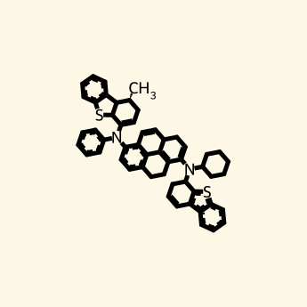 C[C@@H]1CC=C(N(c2ccccc2)c2ccc3c4c2C=CC2CC=C(N(C5CCCCC5)C5CC=Cc6c5sc5ccccc65)C(=C42)CC3)C2Sc3ccccc3C21